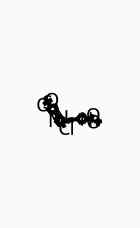 CC(C)(C)OC(=O)N1CCC(C#Cc2nc(-c3ccc(S(C)(=O)=O)cc3)ncc2Cl)CC1